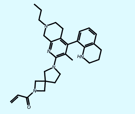 C=CC(=O)N1CC2(CCN(c3nc4c(c(-c5cccc6c5NCCC6)c3C)CCN(CCC)C4)C2)C1